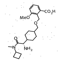 COc1cccc(C(=O)O)c1COCC1CCC([C@H](N)C(=O)N(C)C2CCC2)CC1